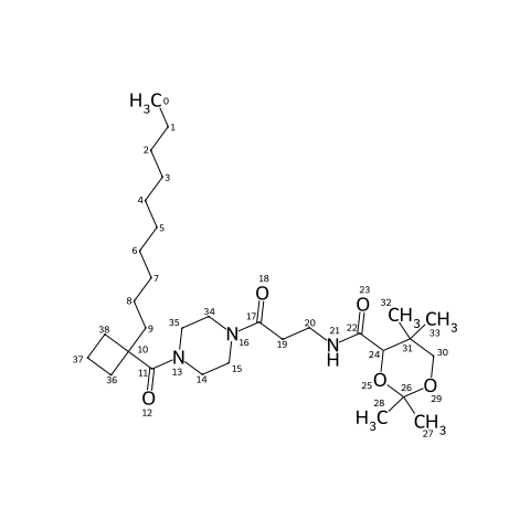 CCCCCCCCCCC1(C(=O)N2CCN(C(=O)CCNC(=O)C3OC(C)(C)OCC3(C)C)CC2)CCC1